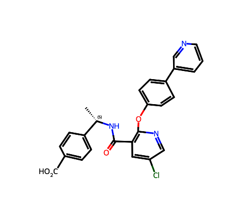 C[C@H](NC(=O)c1cc(Cl)cnc1Oc1ccc(-c2cccnc2)cc1)c1ccc(C(=O)O)cc1